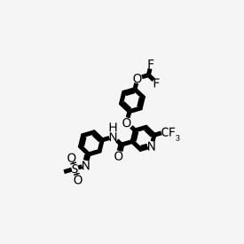 CS(=O)(=O)N=C1C=CC=C(NC(=O)c2cnc(C(F)(F)F)cc2Oc2ccc(OC(F)F)cc2)C1